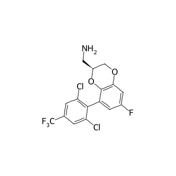 NC[C@H]1COc2cc(F)cc(-c3c(Cl)cc(C(F)(F)F)cc3Cl)c2O1